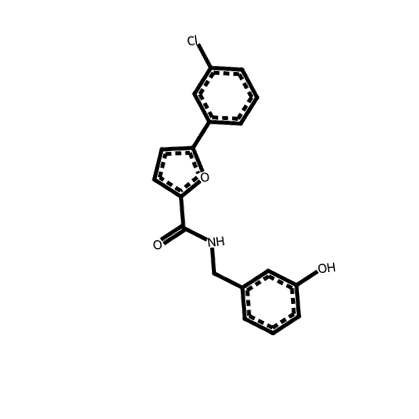 O=C(NCc1cccc(O)c1)c1ccc(-c2cccc(Cl)c2)o1